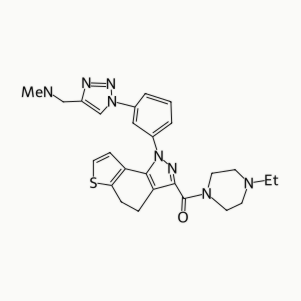 CCN1CCN(C(=O)c2nn(-c3cccc(-n4cc(CNC)nn4)c3)c3c2CCc2sccc2-3)CC1